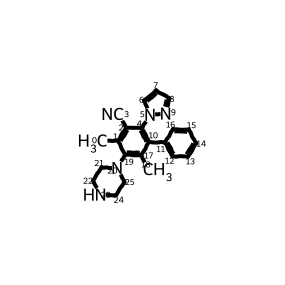 Cc1c(C#N)c(-n2cccn2)c(-c2ccccc2)c(C)c1N1CCNCC1